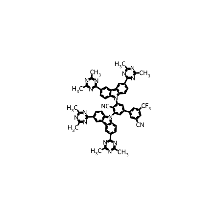 Cc1nc(C)nc(-c2ccc3c(c2)c2cc(-c4nc(C)nc(C)n4)ccc2n3-c2cc(-c3cc(C#N)cc(C(F)(F)F)c3)cc(-n3c4ccc(-c5nc(C)nc(C)n5)cc4c4cc(-c5nc(C)nc(C)n5)ccc43)c2C#N)n1